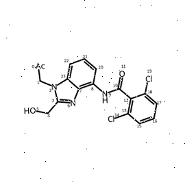 CC(=O)Cn1c(CO)nc2c(NC(=O)c3c(Cl)cccc3Cl)cccc21